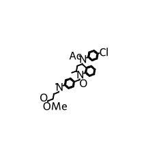 COC(=O)CCCN(C)c1ccc(C(=O)N2c3ccccc3C(N(C(C)=O)c3ccc(Cl)cc3)CC2C)cc1